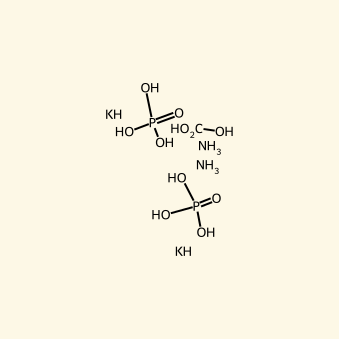 N.N.O=C(O)O.O=P(O)(O)O.O=P(O)(O)O.[KH].[KH]